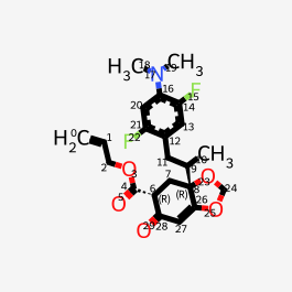 C=CCOC(=O)[C@@H]1C[C@]2(C(C)Cc3cc(F)c(N(C)C)cc3F)OCOC2=CC1=O